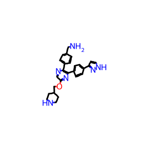 NCc1ccc(-c2ncc(OCC3CCNCC3)nc2-c2ccc(-c3cc[nH]n3)cc2)cc1